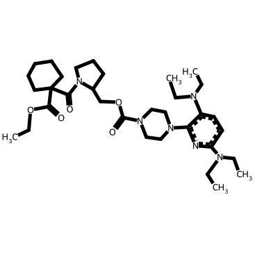 CCOC(=O)C1(C(=O)N2CCCC2COC(=O)N2CCN(c3nc(N(CC)CC)ccc3N(CC)CC)CC2)CCCCC1